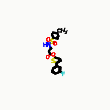 Cc1ccc(S(=O)(=O)NCCC(=O)Oc2ccc(-c3cccc(F)c3)s2)cc1